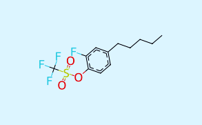 CCCCCc1ccc(OS(=O)(=O)C(F)(F)F)c(F)c1